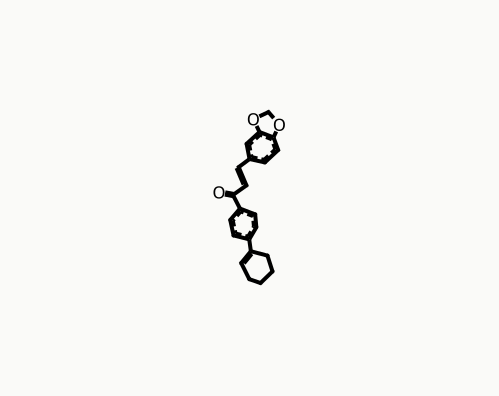 O=C(/C=C/c1ccc2c(c1)OCO2)c1ccc(C2=CCCCC2)cc1